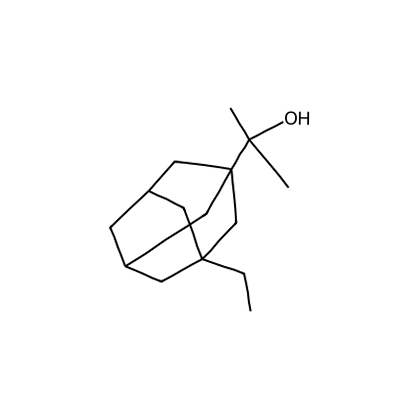 CCC12CC3CC(C1)CC(C(C)(C)O)(C3)C2